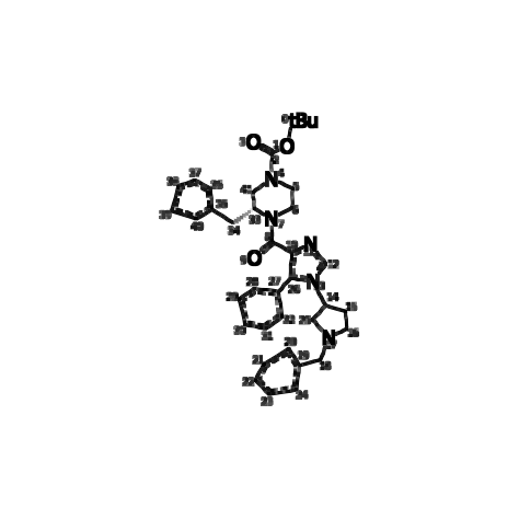 CC(C)(C)OC(=O)N1CCN(C(=O)c2ncn(C3CCN(Cc4ccccc4)C3)c2-c2ccccc2)[C@H](Cc2ccccc2)C1